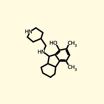 Cc1cc(C)c2c(c1O)C(NCC1CCNCC1)C1CCCCC21